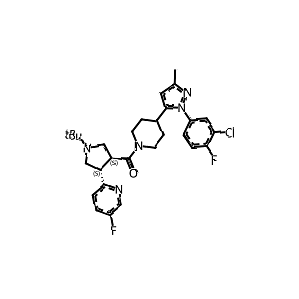 Cc1cc(C2CCN(C(=O)[C@@H]3CN(C(C)(C)C)C[C@H]3c3ccc(F)cn3)CC2)n(-c2ccc(F)c(Cl)c2)n1